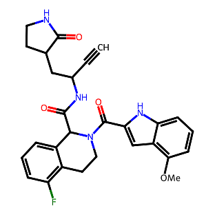 C#CC(CC1CCNC1=O)NC(=O)C1c2cccc(F)c2CCN1C(=O)c1cc2c(OC)cccc2[nH]1